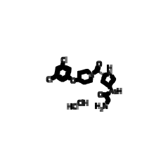 Cl.Cl.NCC(=O)[AsH]C1CN[C@@H](C(=O)N2CCC(Oc3cc(Cl)cc(Cl)c3)CC2)C1